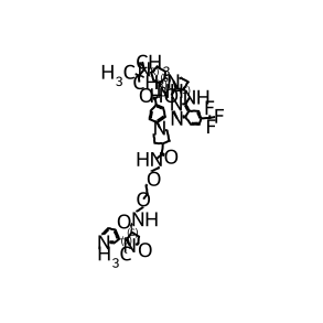 CC(C)N(C)[C@@H]1CC[C@H](N2CC[C@H](Nc3ncnc4ccc(C(F)(F)F)cc34)C2O)[C@H](NC(=O)c2ccc(N3CCC(C(=O)NCCOCCOCCNC(=O)[C@H]4CC(=O)N(C)[C@@H]4c4cccnc4)CC3)cc2)C1